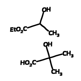 CC(C)(O)C(=O)O.CCOC(=O)C(C)O